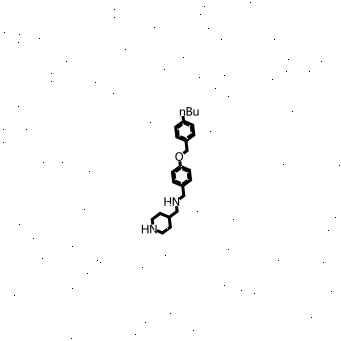 CCCCc1ccc(COc2ccc(CNCC3CCNCC3)cc2)cc1